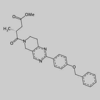 COC(=O)C[C@@H](C)C(=O)N1CCc2nc(-c3ccc(OCc4ccccc4)cc3)ncc2C1